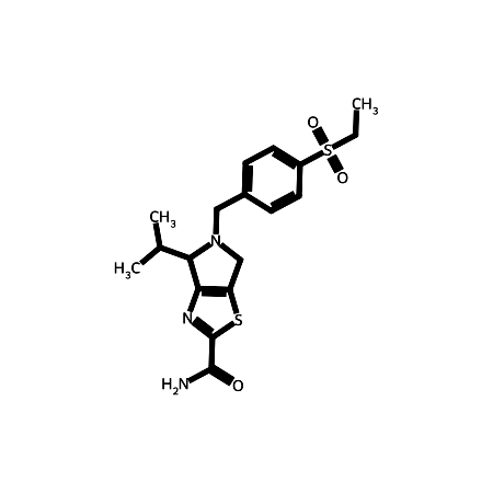 CCS(=O)(=O)c1ccc(CN2Cc3sc(C(N)=O)nc3C2C(C)C)cc1